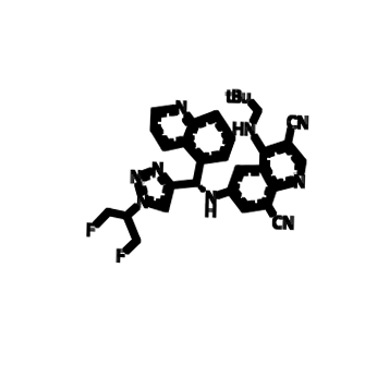 CC(C)(C)CNc1c(C#N)cnc2c(C#N)cc(N[C@H](c3cn(C(CF)CF)nn3)c3cccc4ncccc34)cc12